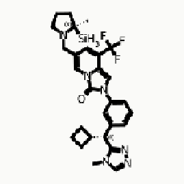 Cn1cnnc1[C@@H](c1cccc(-n2cc3c(C(F)(F)F)cc(CN4CCC[C@@]4(C)[SiH3])cn3c2=O)c1)C1CCC1